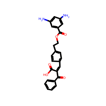 Nc1cc(N)cc(C(=O)OCCc2ccc(C=C(C(=O)O)C(=O)c3ccccc3)cc2)c1